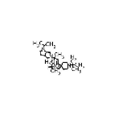 CC(C)N1CCC2CN(C(C)(C)CC3N(C(C)(C)I)CC34CCN(C(C)(C)C)CC4)CC21